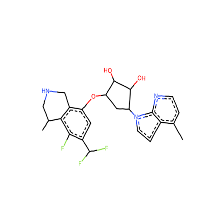 Cc1ccnc2c1ccn2C1CC(Oc2cc(C(F)F)c(F)c3c2CNCC3C)C(O)C1O